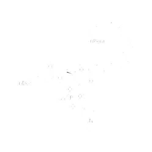 CCCCC/C=C\C/C=C\C/C=C\C/C=C\CCCC(=O)O[C@H](COC(=O)CCCCCCCCCCCC)COP(=O)([O-])OCC[N+](C)(C)C